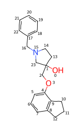 OC1(COc2cccc3c2CCC3)CCN(Cc2ccccc2)C1